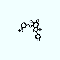 O[C@@H]1CCC[C@@H](COc2c(Cl)c(Cl)cc3[nH]c(-c4ccncc4)nc23)C1